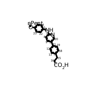 CCCCCOc1ccc(Nc2ccc(-c3ccc(CCC(=O)O)cc3)cn2)cc1